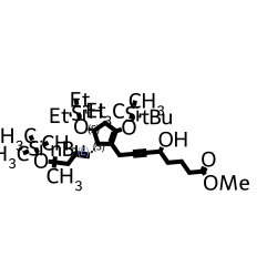 CCCCC(C)(C/C=C/[C@H]1C(CC#CC(O)CCCC(=O)OC)=C(O[Si](C)(C)C(C)(C)C)C[C@@H]1O[Si](CC)(CC)CC)O[Si](C)(C)C